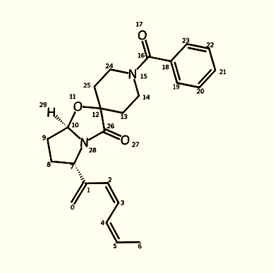 C=C(/C=C\C=C/C)[C@@H]1CC[C@H]2OC3(CCN(C(=O)c4ccccc4)CC3)C(=O)N21